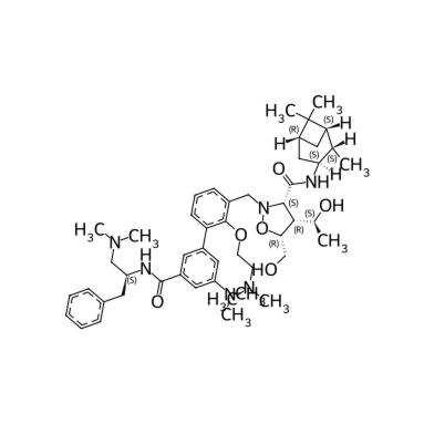 C[C@@H]1[C@@H](NC(=O)[C@@H]2[C@H]([C@H](C)O)[C@H](CO)ON2Cc2cccc(-c3cc(C(=O)N[C@@H](Cc4ccccc4)CN(C)C)cc(N(C)C)c3)c2OCCN(C)C)C[C@H]2C[C@@H]1C2(C)C